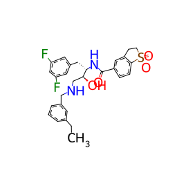 CCc1cccc(CNC[C@H](O)[C@H](Cc2cc(F)cc(F)c2)NC(=O)c2ccc3c(c2)CCS3(=O)=O)c1